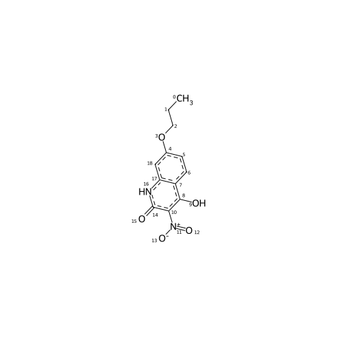 CCCOc1ccc2c(O)c([N+](=O)[O-])c(=O)[nH]c2c1